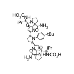 CC(C)[C@H](NC(=O)O)C(=O)N1CCC[C@]1(C(N)=O)c1nc([C@H]2CC[C@H](c3csc([C@@]4(C(N)=O)CCCN4C(=O)[C@@H](NC(=O)O)C(C)C)n3)N2c2ccc(C(C)(C)C)cc2)cs1